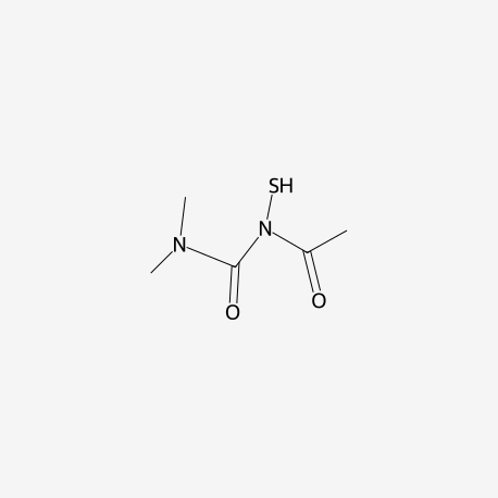 CC(=O)N(S)C(=O)N(C)C